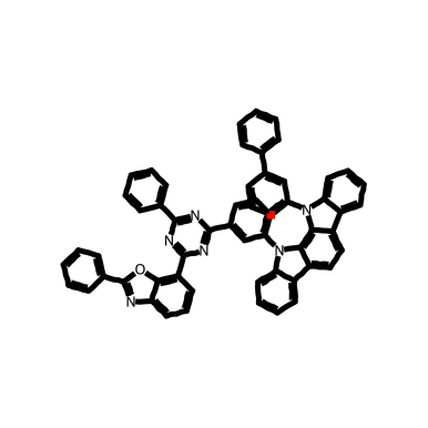 c1ccc(-c2cccc(-n3c4ccccc4c4ccc5c6ccccc6n(-c6cccc(-c7nc(-c8ccccc8)nc(-c8cccc9nc(-c%10ccccc%10)oc89)n7)c6)c5c43)c2)cc1